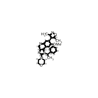 COc1cc2c(cc1-c1c(C)noc1C)ncc1nc(N3CCOCC3)n(C(C)c3ccccc3)c12